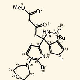 COC(=O)CC(=O)CC(N[S+]([O-])C(C)(C)C)(c1ccsc1)c1ccc(N2CCOCC2)c(Br)n1